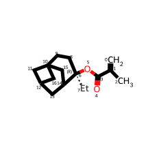 C=C(C)C(=O)O[C@]1(CC)CCC23CC(CC1C2)C3